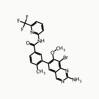 COc1c(-c2cc(C(=O)Nc3cccc(C(F)(F)F)n3)ccc2C)cc2cnc(N)nc2c1Br